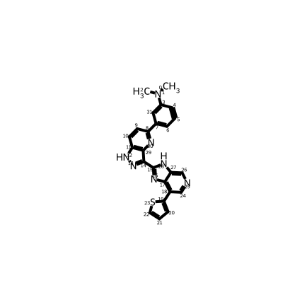 CN(C)c1c#ccc(-c2ccc3[nH]nc(-c4nc5c(-c6cccs6)cncc5[nH]4)c3n2)c1